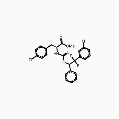 COC(=O)[C@H](Cc1ccc(Cl)cc1)NC(=O)OC(c1ccccc1)C(F)(F)c1cccc(Cl)c1